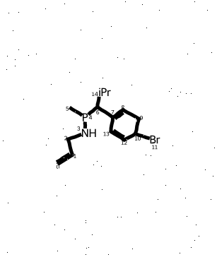 C=CCNP(C)C(C1=CCC(Br)C=C1)C(C)C